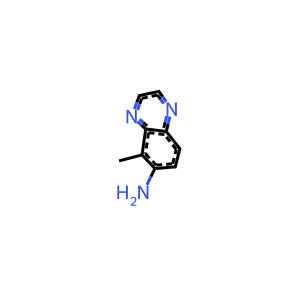 Cc1c(N)ccc2nccnc12